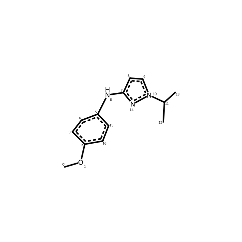 COc1ccc(Nc2ccn(C(C)C)n2)cc1